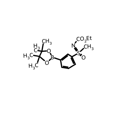 CCOC(=O)N=S(C)(=O)c1cccc(B2OC(C)(C)C(C)(C)O2)c1